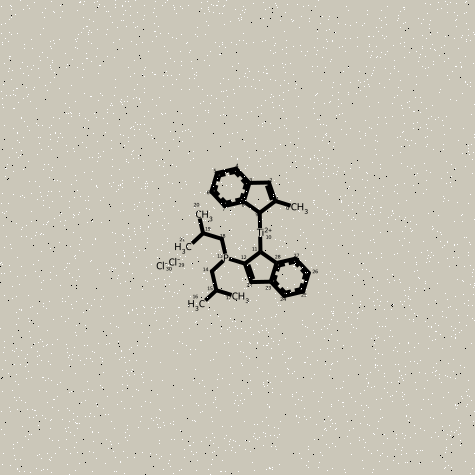 CC1=Cc2ccccc2[CH]1[Ti+2][CH]1C(P(CC(C)C)CC(C)C)=Cc2ccccc21.[Cl-].[Cl-]